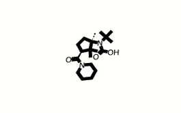 CC(C)(C)N(C(=O)O)[C@]1(C)CC[C@H](C(=O)N2CCCCC2)C1(C)C